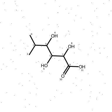 CC(C)C(O)C(O)C(O)C(=O)O